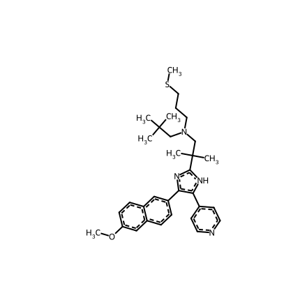 COc1ccc2cc(-c3nc(C(C)(C)CN(CCCSC)CC(C)(C)C)[nH]c3-c3ccncc3)ccc2c1